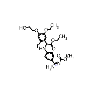 CCOC(=O)C(Nc1ccc(/C(N)=N\C(=O)OC)cc1)c1cc(OCC)c(OCCO)cc1F